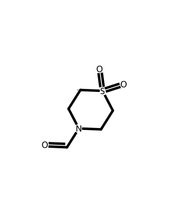 O=CN1C[CH]S(=O)(=O)CC1